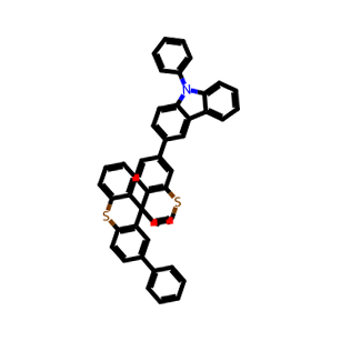 c1ccc(-c2ccc3c(c2)C2(c4ccccc4Sc4cc(-c5ccc6c(c5)c5ccccc5n6-c5ccccc5)ccc42)c2ccccc2S3)cc1